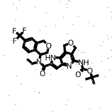 CCN(C(=O)c1cc2nc(NC(=O)OC(C)(C)C)c3c(c2[nH]1)COC3)C1COCc2cc(C(F)(F)F)ccc21